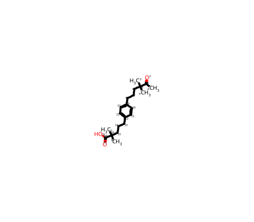 CC(=O)C(C)(C)CCCc1ccc(CCCC(C)(C)C(=O)O)cc1